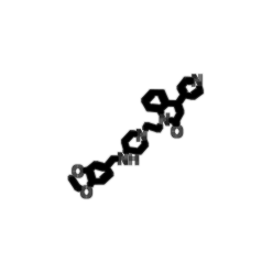 O=c1cc(-c2ccncc2)c2ccccc2n1CCN1CCC(NCc2ccc3c(c2)OCCO3)CC1